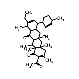 CCC1=CC(C2C=CC(C)CC2)C2CC3(C)CC4(C)CC(C)=C(C(C)=O)C(=O)C4(C)C(C)C3C(=O)C2C1C